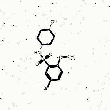 COc1ccc(Br)cc1S(=O)(=O)N[C@H]1CC[C@@H](O)CC1